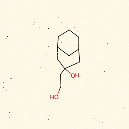 OCCC1(O)CC2CCCC(C2)C1